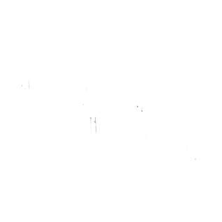 Cc1nc(CCNC(=O)CCCCl)oc2cc(=O)ccc1-2